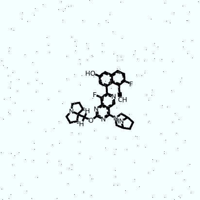 [2H]C([2H])(Oc1nc(N2CC3CCC(C2)N3)c2cnc(-c3cc(O)cc4ccc(F)c(C#C)c34)c(F)c2n1)C12CCCN1CCC2